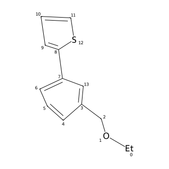 CCOCc1cccc(-c2cccs2)c1